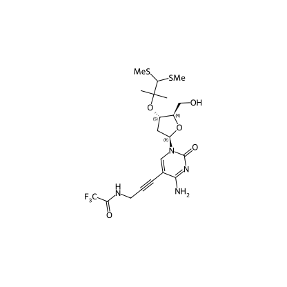 CSC(SC)C(C)(C)O[C@H]1C[C@H](n2cc(C#CCNC(=O)C(F)(F)F)c(N)nc2=O)O[C@@H]1CO